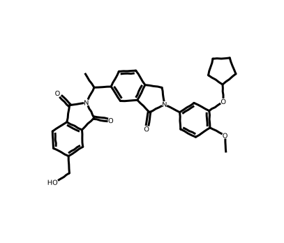 COc1ccc(N2Cc3ccc(C(C)N4C(=O)c5ccc(CO)cc5C4=O)cc3C2=O)cc1OC1CCCC1